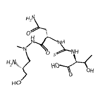 CC(O)[C@H](NC(=S)N[C@@H](CC(N)=O)C(=O)NN(C)C[C@@H](N)CO)C(=O)O